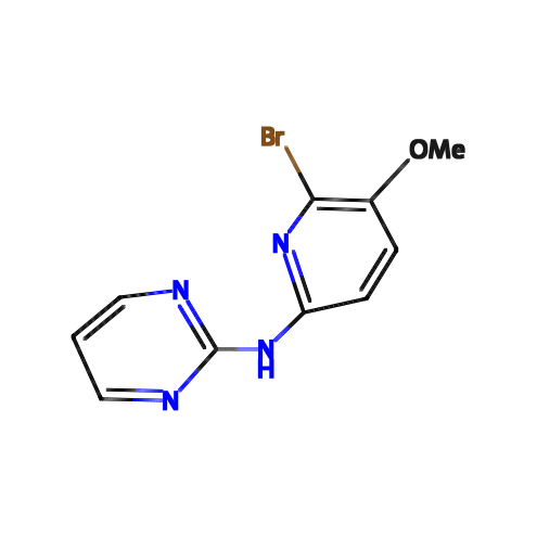 COc1ccc(Nc2ncccn2)nc1Br